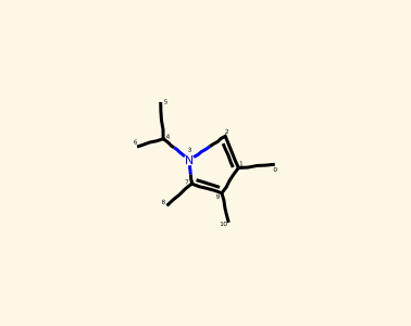 Cc1cn(C(C)C)c(C)c1C